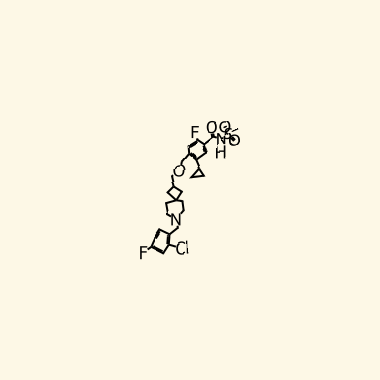 CS(=O)(=O)NC(=O)c1cc(C2CC2)c(COCC2CC3(CCN(Cc4ccc(F)cc4Cl)CC3)C2)cc1F